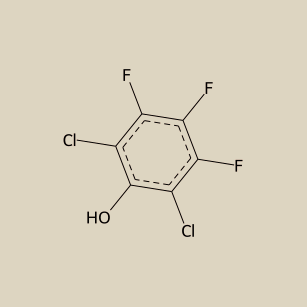 Oc1c(Cl)c(F)c(F)c(F)c1Cl